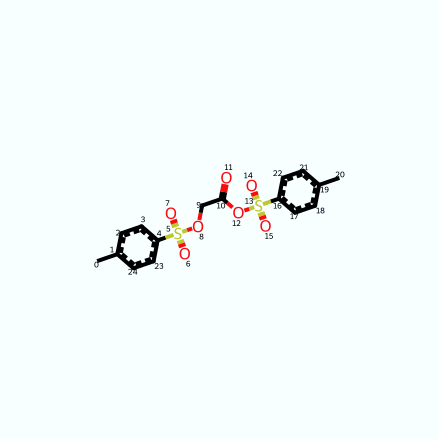 Cc1ccc(S(=O)(=O)OCC(=O)OS(=O)(=O)c2ccc(C)cc2)cc1